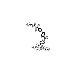 C=CCOC(=O)NC(=N)c1ccc(-c2ccc(C(=O)N3CCC(=C(OC(=O)C(C)(C)C)C(=O)OC)CC3)cc2)cc1